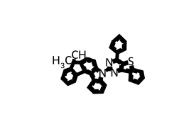 CC1(C)c2ccccc2-c2c1ccc1c2c2ccccc2n1-c1nc(-c2ccccc2)c2sc3ccccc3c2n1